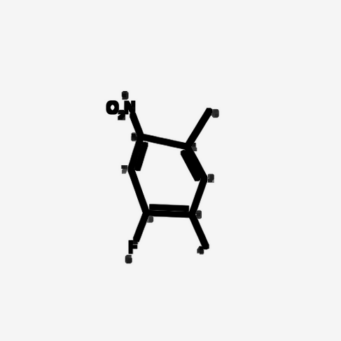 [CH2]c1cc(C)c(F)cc1[N+](=O)[O-]